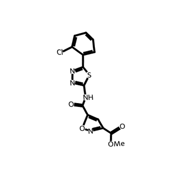 COC(=O)c1cc(C(=O)Nc2nnc(-c3ccccc3Cl)s2)on1